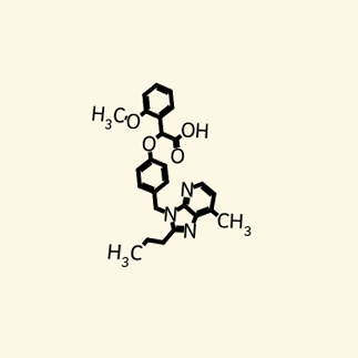 CCCc1nc2c(C)ccnc2n1Cc1ccc(OC(C(=O)O)c2ccccc2OC)cc1